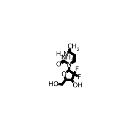 C=C(N)/C=C\N(C(N)=O)C1OC(CO)C(O)C1(F)F